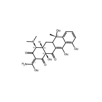 CN(C)[C@@H]1C(=O)/C(=C(\N)O)C(=O)[C@@]2(O)C(=O)C3=C(O)c4c(O)cccc4[C@@](C)(O)C3C[C@@H]12